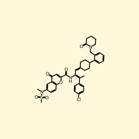 C/C(=C(\C=C1CCC(c2ccccc2CN2CCCCC2=O)CC1)NC(=O)c1cc(=O)c2cc(N(C)S(C)(=O)=O)ccc2o1)c1ccc(Cl)cc1